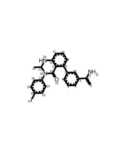 C=C(N)c1cccc(-c2cccc3c2C(=O)N(c2ccc(I)cc2)C(C)N3)c1